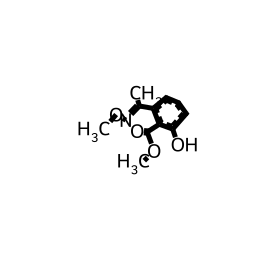 CON=C(C)c1cccc(O)c1C(=O)OC